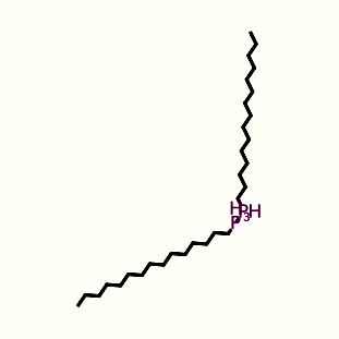 CCCCCCCCCCCCCCCP[PH3]CCCCCCCCCCCCCCC